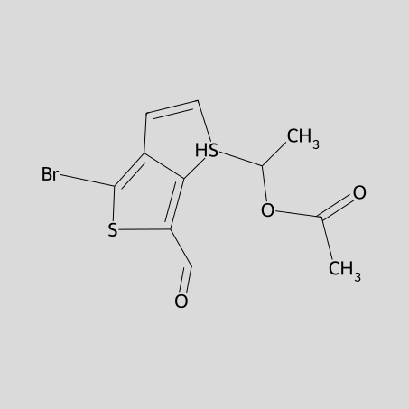 CC(=O)OC(C)[SH]1C=Cc2c(Br)sc(C=O)c21